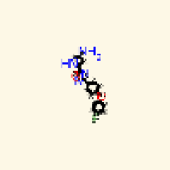 Nc1c[nH]c(-c2nc(-c3ccc(Oc4ccc(F)cc4)cc3)no2)c1